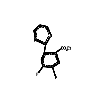 CCOC(=O)c1cc(F)c(F)cc1-c1ncccn1